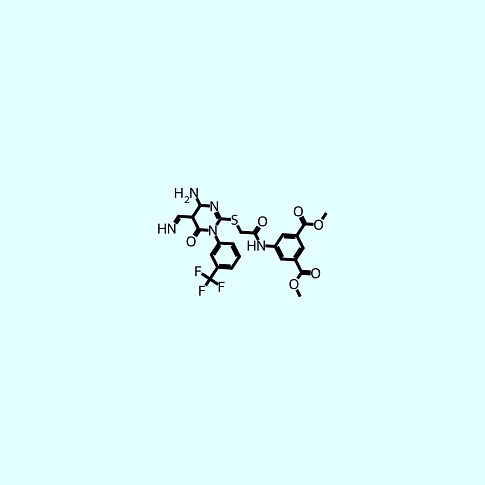 COC(=O)c1cc(NC(=O)CSC2=NC(N)C(C=N)C(=O)N2c2cccc(C(F)(F)F)c2)cc(C(=O)OC)c1